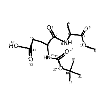 COC(=O)C(C)NC(=O)C(CC(=O)O)NC(=O)OC(C)(C)C